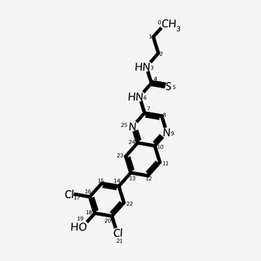 CCCNC(=S)Nc1cnc2ccc(-c3cc(Cl)c(O)c(Cl)c3)cc2n1